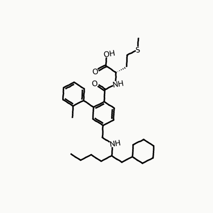 CCCCC(CC1CCCCC1)NCc1ccc(C(=O)N[C@@H](CCSC)C(=O)O)c(-c2ccccc2C)c1